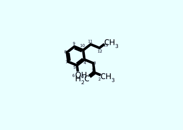 C=C(C)Cc1c(O)cccc1CCC